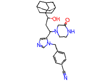 N#Cc1ccc(Cn2cncc2C(CC(O)C23CC4CC(CC(C4)C2)C3)N2CCNC(=O)C2)cc1